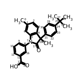 Cc1ccc2c(c1)N(c1cccc(C(=O)O)c1)C(=O)C2(C)c1ccc(C(C)(C)C)cc1